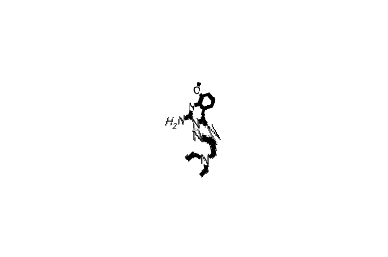 CCN(CC)Cc1nc2c3cccc(OC)c3nc(N)n2n1